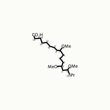 CCCC(CC(CCCC(CCCCCCCC(=O)O)OC)OC)OC